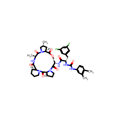 Cc1ccc(NC(=O)N[C@@H](Cc2cc(F)cc(F)c2)C(=O)N[C@H]2COC(=O)[C@@H]3C[C@@H](C)CN3C(=O)[C@H](C)NC(=O)[C@@H]3CCCCN3C(=O)[C@@H]3CCCN3C2=O)cc1C